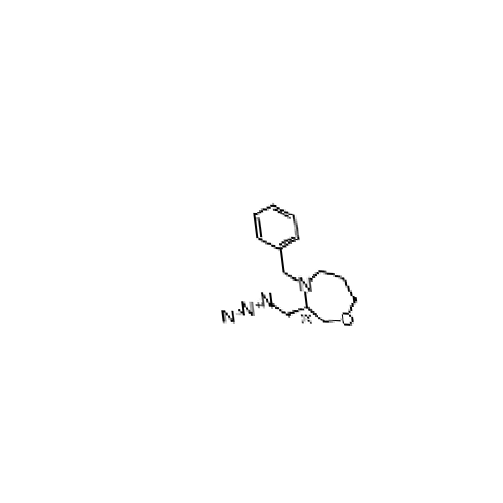 [N-]=[N+]=NC[C@@H]1COCCCN1Cc1ccccc1